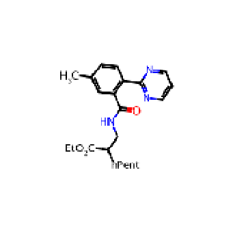 CCCCCC(CNC(=O)c1cc(C)ccc1-c1ncccn1)C(=O)OCC